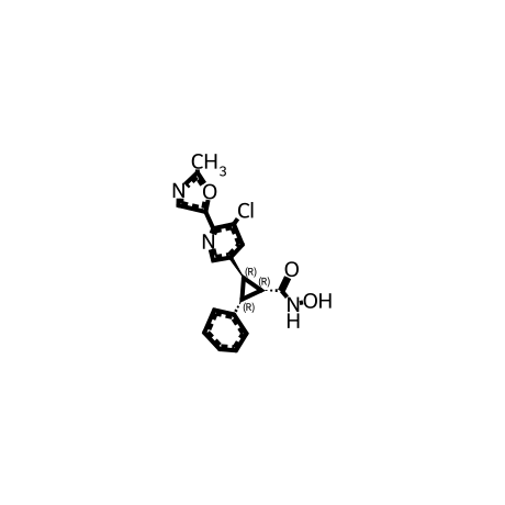 Cc1ncc(-c2ncc([C@H]3[C@H](C(=O)NO)[C@@H]3c3ccccc3)cc2Cl)o1